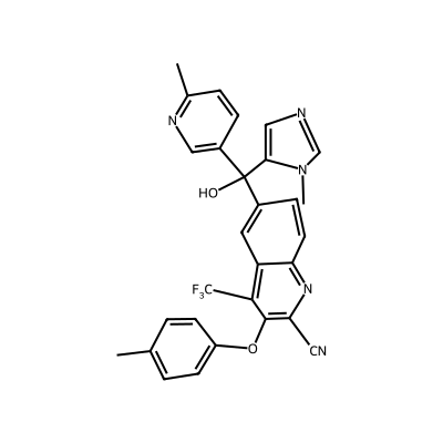 Cc1ccc(Oc2c(C#N)nc3ccc(C(O)(c4ccc(C)nc4)c4cncn4C)cc3c2C(F)(F)F)cc1